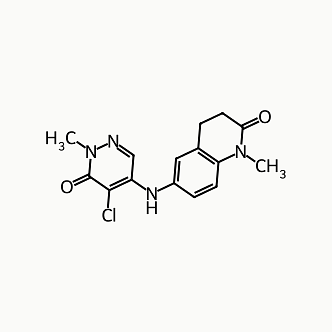 CN1C(=O)CCc2cc(Nc3cnn(C)c(=O)c3Cl)ccc21